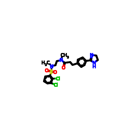 CN(CCN(C)S(=O)(=O)c1cccc(Cl)c1Cl)C(=O)CCc1ccc(C2=NCCN2)cc1